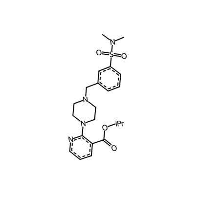 CC(C)OC(=O)c1cccnc1N1CCN(Cc2cccc(S(=O)(=O)N(C)C)c2)CC1